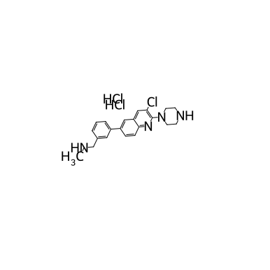 CNCc1cccc(-c2ccc3nc(N4CCNCC4)c(Cl)cc3c2)c1.Cl.Cl